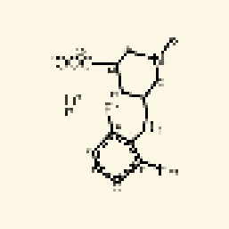 CN1CC(Oc2c(F)cccc2F)CC(C(=O)[O-])C1.[Li+]